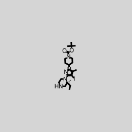 CC[C@@]1(C)CNCCN1c1nn(C2CCN(C(=O)OC(C)(C)C)CC2)c(C)c1I